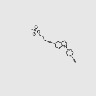 C#Cc1ccc(-n2ccc3cc(C#CCCCOS(C)(=O)=O)ccc32)cc1